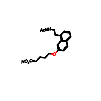 CC(=O)NCCc1cccc2ccc(OCCCCC(=O)O)cc12